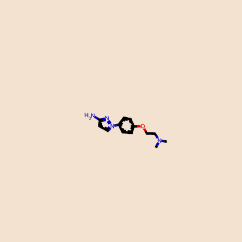 CN(C)CCOc1ccc(-n2ccc(N)n2)cc1